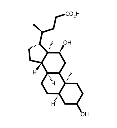 C[C@@H](CCC(=O)O)[C@H]1CC[C@H]2[C@@H]3CC[C@@H]4CC(O)CC[C@]4(C)C3C[C@H](O)[C@]12C